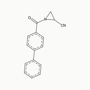 N#CC1CN1C(=O)c1ccc(-c2ccccc2)cc1